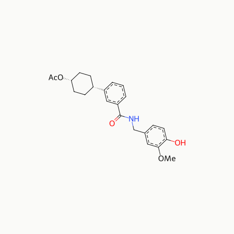 COc1cc(CNC(=O)c2cccc([C@H]3CC[C@@H](OC(C)=O)CC3)c2)ccc1O